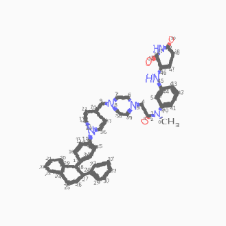 CN(C(=O)CN1CCN(CC2CCN(c3ccc(C4c5ccccc5CCC4c4ccccc4)cc3)CC2)CC1)c1cccc(NC2CCC(=O)NC2=O)c1